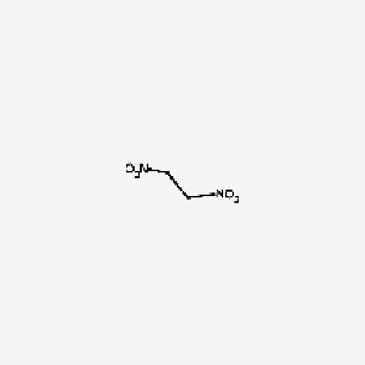 O=[N+]([O-])CC[N+](=O)[O-]